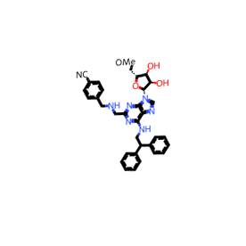 COC[C@H]1O[C@@H](n2cnc3c(NCC(c4ccccc4)c4ccccc4)nc(CNCc4ccc(C#N)cc4)nc32)[C@H](O)[C@@H]1O